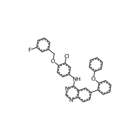 Fc1cccc(COc2ccc(Nc3ncnc4ccc(-c5ccccc5Oc5ccccc5)cc34)cc2Cl)c1